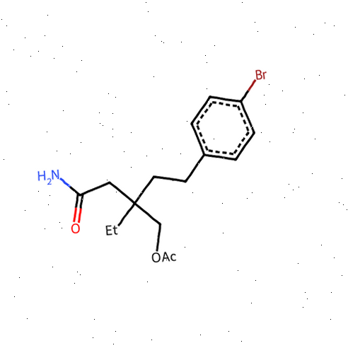 CCC(CCc1ccc(Br)cc1)(COC(C)=O)CC(N)=O